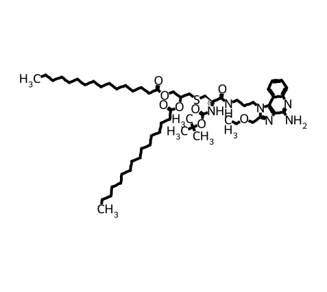 CCCCCCCCCCCCCCCC(=O)OCC(CSC[C@H](NC(=O)OC(C)(C)C)C(=O)NCCCn1c(COCC)nc2c(N)nc3ccccc3c21)OC(=O)CCCCCCCCCCCCCCC